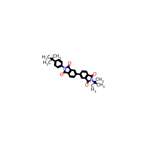 CC(C)(C)c1ccc(N2C(=O)c3ccc(-c4ccc5c(c4)C(=O)N(C(C)(C)C)C5=O)cc3C2=O)cc1